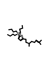 CCC[CH2][Sn]([CH2]CCC)([CH2]CCC)[c]1ccc(CCC(C)CCC=C(C)C)s1